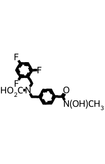 CN(O)C(=O)c1ccc(CN(Cc2c(F)cc(F)cc2F)C(=O)O)cc1